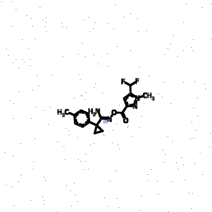 Cc1ccc(C2(/C(N)=N/OC(=O)c3cc(C(F)F)n(C)n3)CC2)cc1